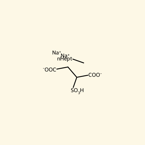 CCCCCCCC.O=C([O-])CC(C(=O)[O-])S(=O)(=O)O.[Na+].[Na+]